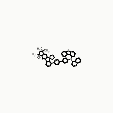 CC1(C)CC(C)(C)c2cc3c(cc21)-c1cccc(-c2ccc(-c4ccc(N(c5cccc6ccccc56)c5cccc6sc7ccccc7c56)cc4)cc2)c1C31CCCC1